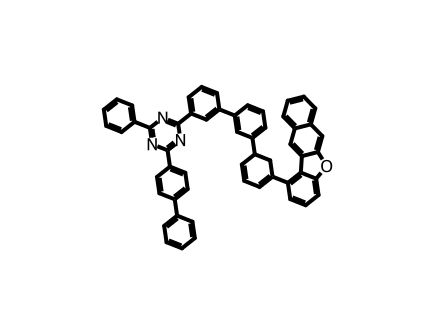 C1=CC(c2cccc(-c3cccc(-c4nc(-c5ccccc5)nc(-c5ccc(-c6ccccc6)cc5)n4)c3)c2)CC(c2cccc3oc4cc5ccccc5cc4c23)=C1